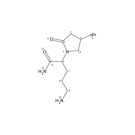 CCCC1CC(=O)N(C(CCCN)C(N)=O)C1